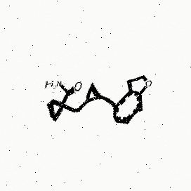 NC(=O)C1(CC2CC2c2cccc3c2CCO3)CC1